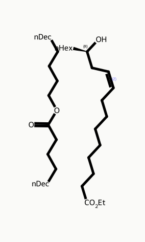 CCCCCCCCCCCCCCOC(=O)CCCCCCCCCCCCC.CCCCCC[C@@H](O)C/C=C\CCCCCCCC(=O)OCC